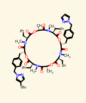 CC(C)C[C@H]1C(=O)O[C@H](Cc2ccc(Cn3cc(C(C)(C)C)cn3)cc2)C(=O)N(C)[C@@H](CC(C)C)C(=O)O[C@H](C)C(=O)N(C)[C@@H](CC(C)C)C(=O)O[C@H](Cc2ccc(Cn3cccn3)cc2)C(=O)N(C)[C@@H](CC(C)C)C(=O)O[C@H](C)C(=O)N1C